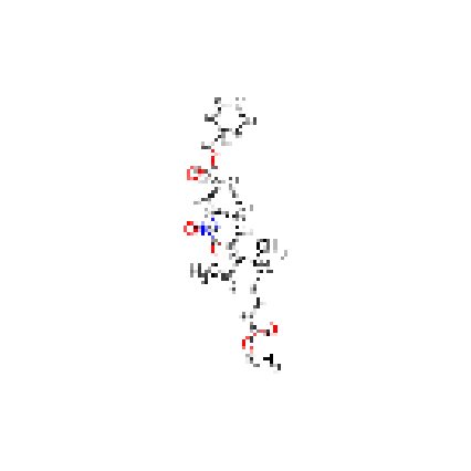 COC(=O)/C=C/c1cc(C)c(/C=C/c2ccc(C(=O)OCc3ccccc3)cc2[N+](=O)[O-])c(C)c1